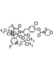 CC1(C)CS[C@@H](C(=O)N([C@@H](Cc2ccc(OC(=O)N3CCOCS3)c(Cl)c2)C(=O)OC(C)(C)C)S(=O)(=O)c2ccc(F)cc2)N1